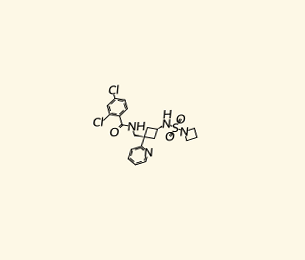 O=C(NC[C@]1(c2ccccn2)C[C@H](NS(=O)(=O)N2CCC2)C1)c1ccc(Cl)cc1Cl